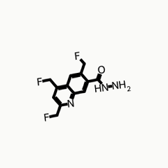 NNC(=O)c1cc2nc(CF)cc(CF)c2cc1CF